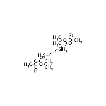 CC(C)OC(CC[SiH2]CCCC[SiH2]CCC(OC(C)C)OC(C)C)OC(C)C